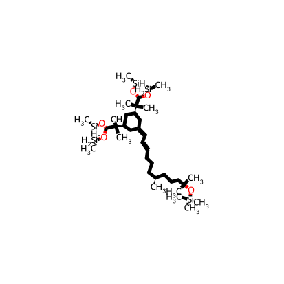 C[SiH2]OC(O[SiH2]C)C(C)(C)[C@@H]1CC(=CC=CCCC[C@@H](C)CCCC(C)(C)O[Si](C)(C)C)C[C@@H](C(C)(C)C(O[SiH2]C)O[SiH2]C)C1